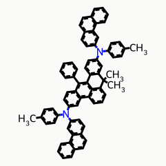 Cc1ccc(N(c2ccc3c(c2)C(C)(C)c2cccc4c2c-3c(-c2ccccc2)c2ccc(N(c3ccc(C)cc3)c3ccc5ccc6ccccc6c5c3)cc24)c2ccc3ccc4ccccc4c3c2)cc1